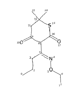 CCCC(=NOCC)C1C(=O)CC(C)(C)SC1=O